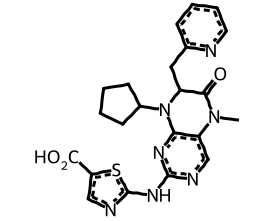 CN1C(=O)C(Cc2ccccn2)N(C2CCCC2)c2nc(Nc3ncc(C(=O)O)s3)ncc21